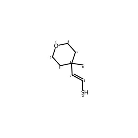 CC1(/C=C/S)CCOCC1